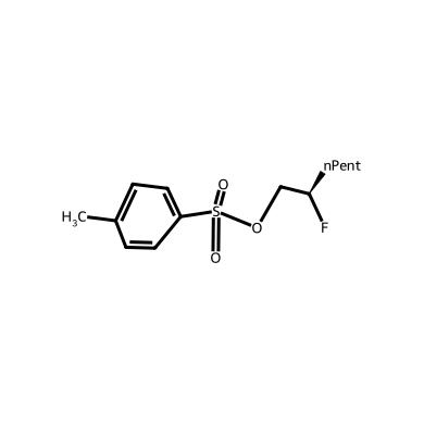 CCCCC[C@@H](F)COS(=O)(=O)c1ccc(C)cc1